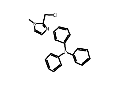 Cn1ccnc1CCl.c1ccc(P(c2ccccc2)c2ccccc2)cc1